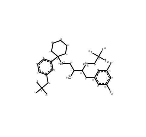 CC(C)(C)Cc1cccc(C2(NCC(O)C(Cc3cc(F)cc(F)c3)NCC(F)(F)F)CCCCC2)c1